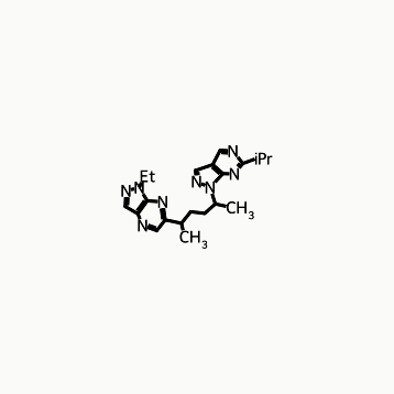 CCn1ncc2ncc(C(C)CCC(C)n3ncc4cnc(C(C)C)nc43)nc21